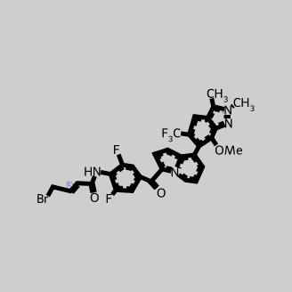 COc1c(-c2cccn3c(C(=O)c4cc(F)c(NC(=O)/C=C/CBr)c(F)c4)ccc23)c(C(F)(F)F)cc2c(C)n(C)nc12